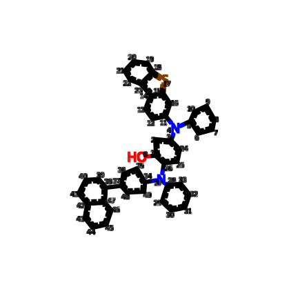 Oc1cc(N(c2ccccc2)c2ccc3c(c2)sc2ccccc23)ccc1N(c1ccccc1)c1ccc(-c2cccc3ccccc23)cc1